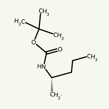 [CH2][C@@H](CCC)NC(=O)OC(C)(C)C